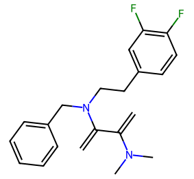 C=C(C(=C)N(CCc1ccc(F)c(F)c1)Cc1ccccc1)N(C)C